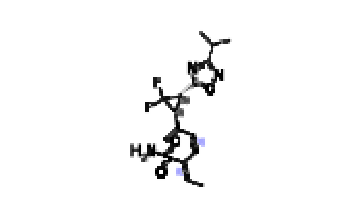 C=C(/C=C\C(=C/C)S(N)(=O)=O)[C@@H]1[C@@H](c2nc(C(C)C)no2)C1(F)F